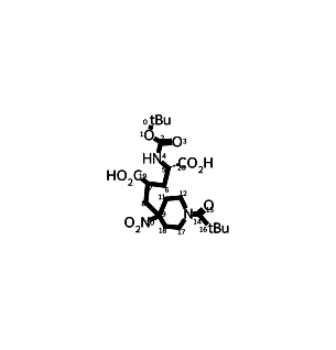 CC(C)(C)OC(=O)N[C@@H](CC(CC1([N+](=O)[O-])CCN(C(=O)C(C)(C)C)CC1)C(=O)O)C(=O)O